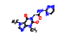 Cn1cnc2c1c(=O)n(CC(=O)Nc1nccnn1)c(=O)n2C